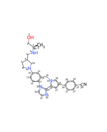 C[C@H](CO)NCC1CCN(c2ccc3c(c2)Cn2cc(-c4ccc(C#N)cc4)cc2-c2nccn2-3)C1